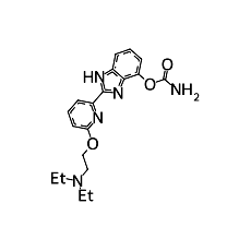 CCN(CC)CCOc1cccc(-c2nc3c(OC(N)=O)cccc3[nH]2)n1